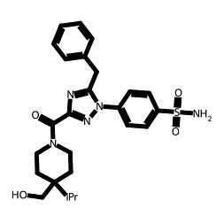 CC(C)C1(CO)CCN(C(=O)c2nc(Cc3ccccc3)n(-c3ccc(S(N)(=O)=O)cc3)n2)CC1